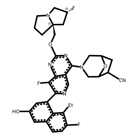 CCc1c(F)ccc2cc(O)cc(-c3ncc4c(N5CC6CC(C#N)C(C5)O6)nc(OC[C@@]56CCCN5C[C@H](F)C6)nc4c3F)c12